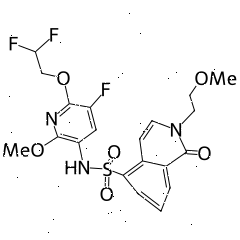 COCCn1ccc2c(S(=O)(=O)Nc3cc(F)c(OCC(F)F)nc3OC)cccc2c1=O